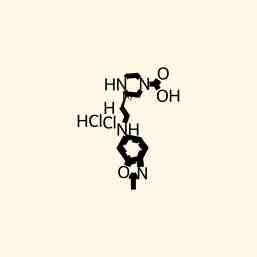 Cc1nc2ccc(NCC[C@@H]3CN(C(=O)O)CCN3)cc2o1.Cl.Cl